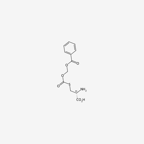 N[C@@H](CSC(=O)OCOC(=O)c1ccccc1)C(=O)O